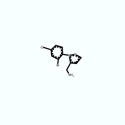 NCc1ccnn1-c1ccc(Cl)cc1Br